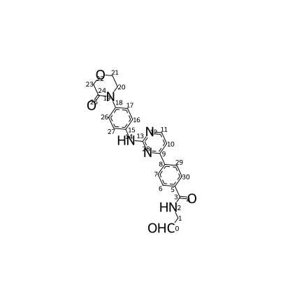 O=CCNC(=O)c1ccc(-c2ccnc(Nc3ccc(N4CCOCC4=O)cc3)n2)cc1